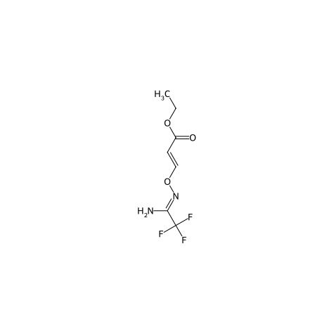 CCOC(=O)C=CON=C(N)C(F)(F)F